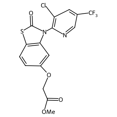 COC(=O)COc1ccc2sc(=O)n(-c3ncc(C(F)(F)F)cc3Cl)c2c1